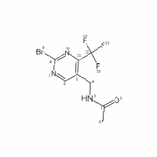 CC(=O)NCc1cnc(Br)nc1C(F)(F)F